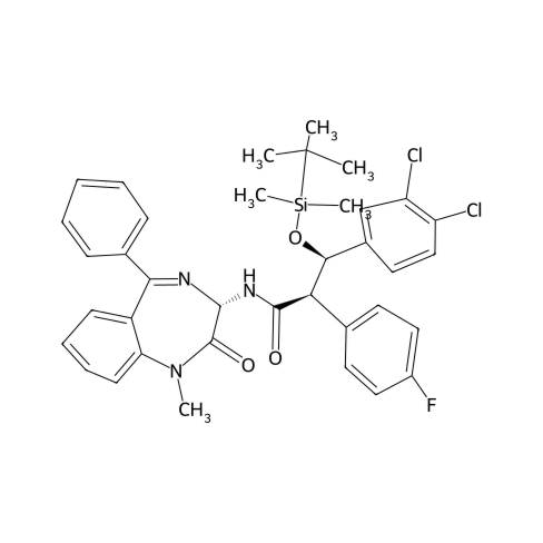 CN1C(=O)[C@@H](NC(=O)[C@H](c2ccc(F)cc2)[C@@H](O[Si](C)(C)C(C)(C)C)c2ccc(Cl)c(Cl)c2)N=C(c2ccccc2)c2ccccc21